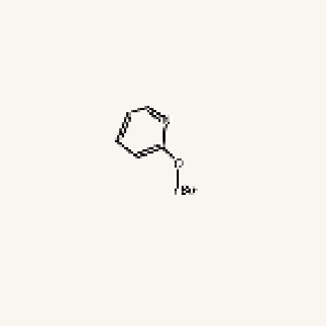 CCC[CH]Oc1ccccn1